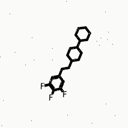 Fc1cc(CCC2CCC(C3CCCCC3)CC2)cc(F)c1F